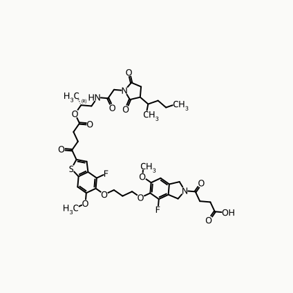 CCCC(C)C1CC(=O)N(CC(=O)NC[C@@H](C)OC(=O)CCC(=O)c2cc3c(F)c(OCCCOc4c(OC)cc5c(c4F)CN(C(=O)CCC(=O)O)C5)c(OC)cc3s2)C1=O